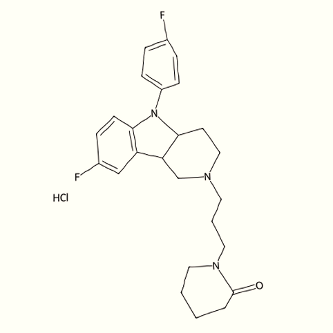 Cl.O=C1CCCCN1CCCN1CCC2C(C1)c1cc(F)ccc1N2c1ccc(F)cc1